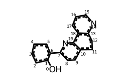 Oc1ccccc1-c1ccc2ccc3ncccc3c2n1